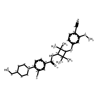 COc1cc(OC2C(C)(C)C(NC(=O)c3ccc(N4CCC(CO)CC4)c(F)c3)C2(C)C)ccc1C#N